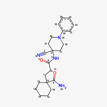 N#CC1(NC(=O)[CH]CC2(C(N)=O)CCCCC2)CCN(c2ccccc2)CC1